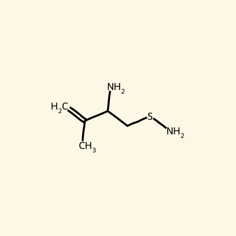 C=C(C)C(N)CSN